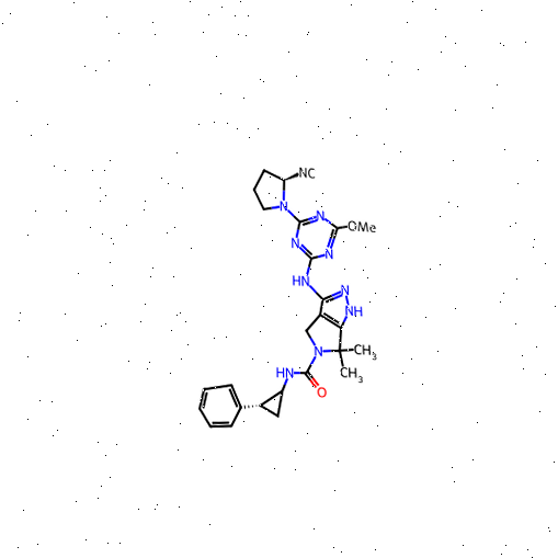 [C-]#[N+][C@@H]1CCCN1c1nc(Nc2n[nH]c3c2CN(C(=O)NC2C[C@@H]2c2ccccc2)C3(C)C)nc(OC)n1